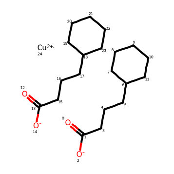 O=C([O-])CCCC1CCCCC1.O=C([O-])CCCC1CCCCC1.[Cu+2]